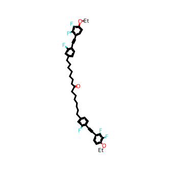 CCOc1ccc(C#Cc2ccc(CCCCCCCC(=O)CCCCCCCc3ccc(C#Cc4ccc(OCC)c(F)c4F)c(F)c3)cc2F)c(F)c1F